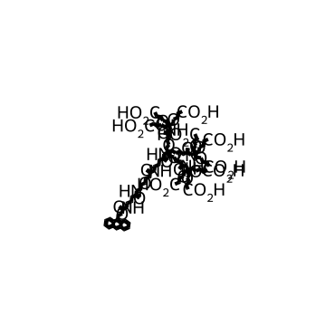 O=C(O)CCOCC(COCCC(=O)O)(COCCC(=O)O)NC(=O)CCOCC(COCCC(=O)NC(COCCC(=O)O)(COCCC(=O)O)COCCC(=O)O)(COCCC(=O)NC(COCCC(=O)O)(COCCC(=O)O)COCCC(=O)O)NC(=O)CCCNC(=O)CCOCCNC(=O)CCCNC(=O)OCc1c2ccccc2cc2ccccc12